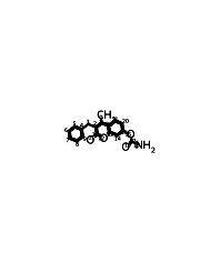 Cc1c(Cc2ccccc2)c(=O)oc2cc(OC(N)=O)ccc12